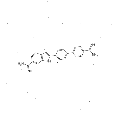 N=C(N)c1ccc(-c2ccc(-c3cc4ccc(C(=N)N)cc4[nH]3)cc2)cc1